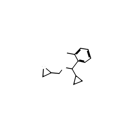 Cc1ccccc1C(OCC1CO1)C1CC1